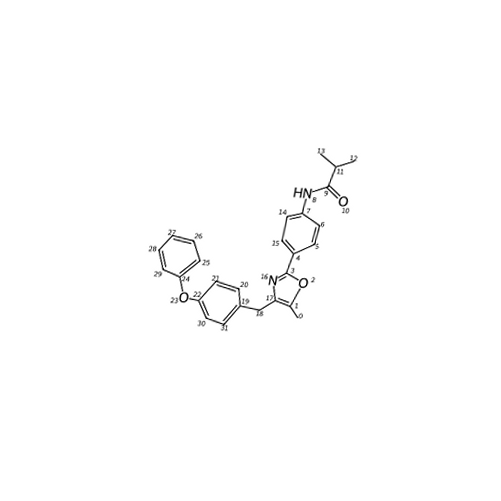 Cc1oc(-c2ccc(NC(=O)C(C)C)cc2)nc1Cc1ccc(Oc2ccccc2)cc1